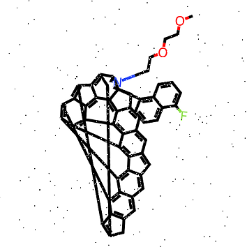 COCCOCCN1CC2C3=c4c5c6c7c(cc8cc9cc%10cc%11cc%12c%13c(c4c4c5c5c7c8c7c9c%10c8c%11c%13c4c8c75)=C(C3)C%12)CC62C1c1cccc2c(F)cccc12